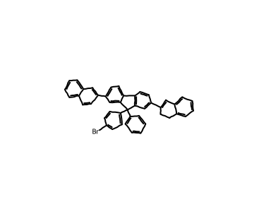 Brc1ccc(C2(c3ccccc3)c3cc(C4=Cc5ccccc5CC4)ccc3-c3ccc(-c4ccc5ccccc5c4)cc32)cc1